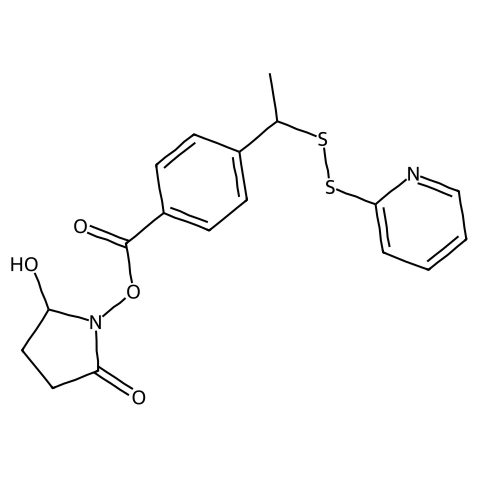 CC(SSc1ccccn1)c1ccc(C(=O)ON2C(=O)CCC2O)cc1